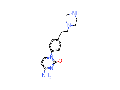 Nc1ccn(-c2ccc(CCN3CCNCC3)cc2)c(=O)n1